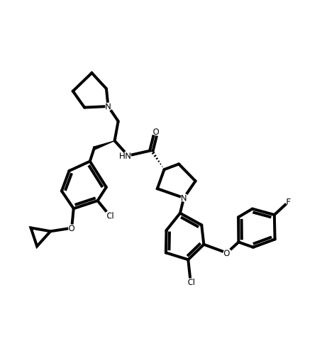 O=C(N[C@@H](Cc1ccc(OC2CC2)c(Cl)c1)CN1CCCC1)[C@@H]1CCN(c2ccc(Cl)c(Oc3ccc(F)cc3)c2)C1